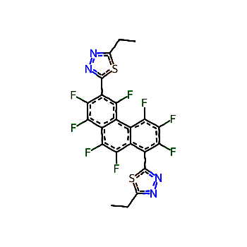 CCc1nnc(-c2c(F)c(F)c3c(F)c(F)c4c(-c5nnc(CC)s5)c(F)c(F)c(F)c4c3c2F)s1